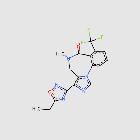 CCc1nc(-c2ncn3c2CN(C)C(=O)c2c-3cccc2C(F)(F)F)no1